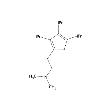 CC(C)C1=C(C(C)C)C(C(C)C)=C(CCN(C)C)C1